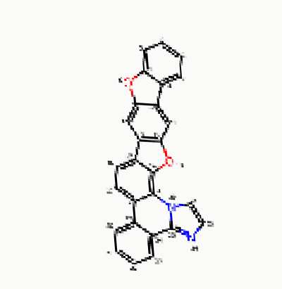 c1ccc2c(c1)oc1cc3c(cc12)oc1c3ccc2c3ccccc3c3nccn3c21